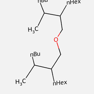 CCCCCCC(COCC(CCCCCC)C(C)CCCC)C(C)CCCC